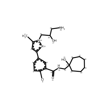 Cc1cc(-c2ccc(Cl)c(C(=O)NCC3(O)CCCCCC3)c2)nn1CC(O)CN